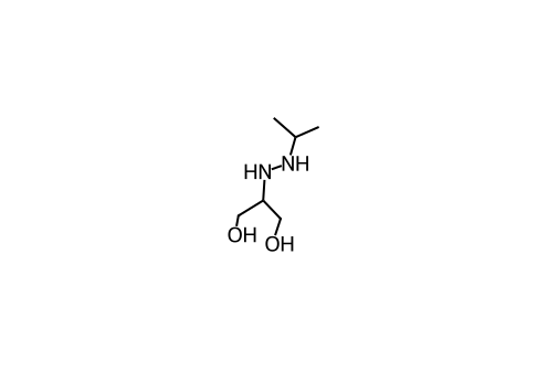 CC(C)NNC(CO)CO